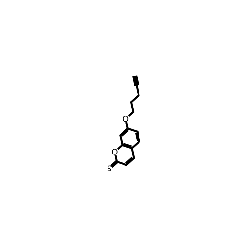 C#CCCCOc1ccc2ccc(=S)oc2c1